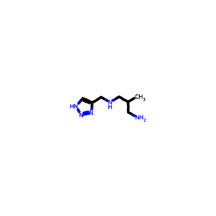 CC(CN)CNCc1c[nH]nn1